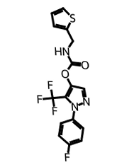 O=C(NCc1cccs1)Oc1cnn(-c2ccc(F)cc2)c1C(F)(F)F